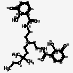 CCOC(C)(C)CCN(CCNC(=O)c1cccc(=O)n1O)CCNC(=O)c1cccc(=O)n1O